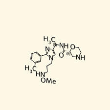 CONCCCn1cc([C@@H](C)NC(=O)[C@H]2CNCCO2)nc1-c1cccc(C)c1